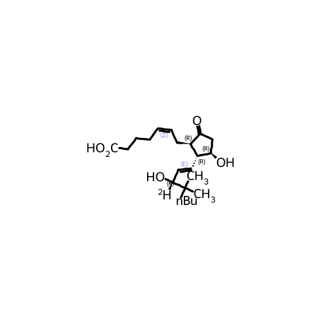 [2H][C@@](O)(/C=C/[C@H]1[C@H](O)CC(=O)[C@@H]1C/C=C\CCCC(=O)O)C(C)(C)CCCC